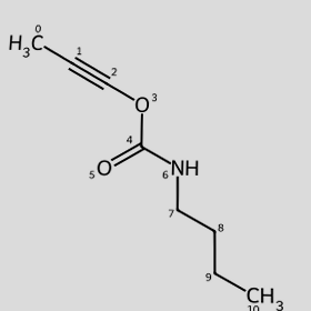 CC#COC(=O)NCCCC